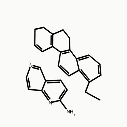 CCc1cccc2c3c(ccc12)C1=C(CCC=C1)CC3.Nc1ccc2cnccc2n1